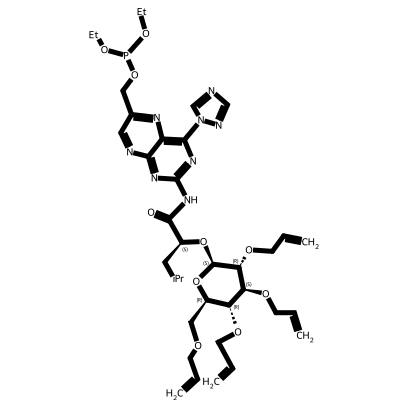 C=CCOC[C@H]1O[C@@H](O[C@@H](CC(C)C)C(=O)Nc2nc(-n3cncn3)c3nc(COP(OCC)OCC)cnc3n2)[C@H](OCC=C)[C@@H](OCC=C)[C@@H]1OCC=C